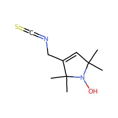 CC1(C)C=C(CN=C=S)C(C)(C)N1O